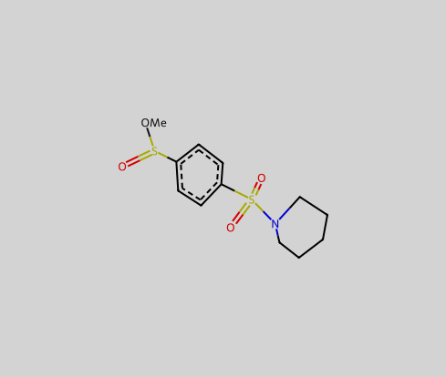 COS(=O)c1ccc(S(=O)(=O)N2CCCCC2)cc1